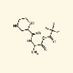 CC(NC(=O)C1CNCCN1)C(=O)OC(=O)C(F)(F)F